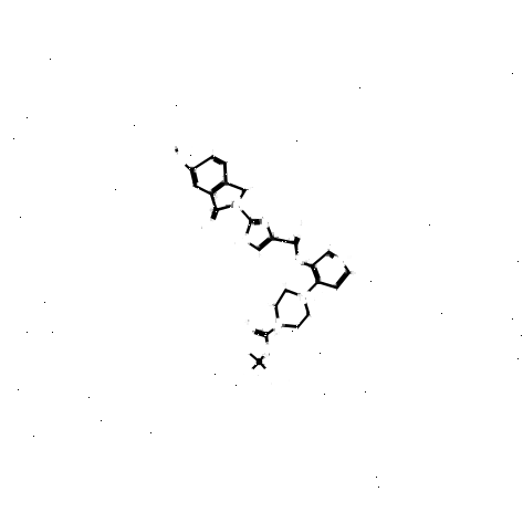 COc1ccc2c(c1)C(=O)N(c1nc(C(=O)Nc3cnccc3N3CCN(C(=O)OC(C)(C)C)CC3)cs1)C2